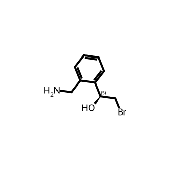 NCc1ccccc1[C@H](O)CBr